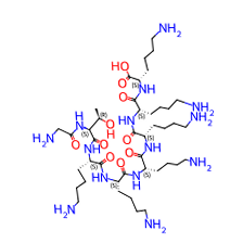 C[C@@H](O)[C@H](NC(=O)CN)C(=O)N[C@@H](CCCCN)C(=O)N[C@@H](CCCCN)C(=O)N[C@@H](CCCCN)C(=O)N[C@@H](CCCCN)C(=O)N[C@@H](CCCCN)C(=O)N[C@@H](CCCCN)C(=O)O